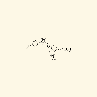 CC(=O)N1CCc2c(OCc3oc(-c4ccc(C(F)(F)F)cc4)nc3C)ccc(CCC(=O)O)c2C1